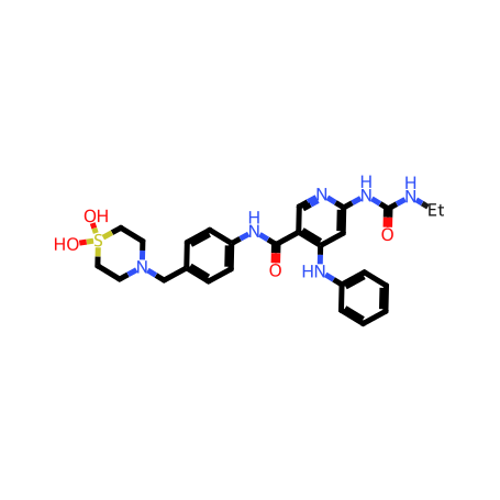 CCNC(=O)Nc1cc(Nc2ccccc2)c(C(=O)Nc2ccc(CN3CCS(O)(O)CC3)cc2)cn1